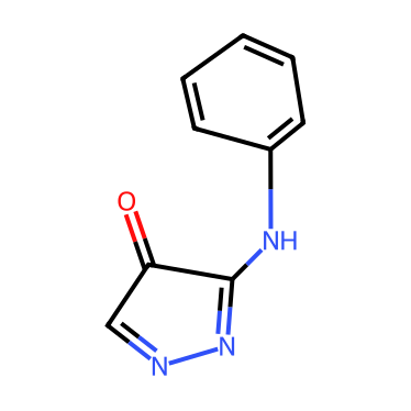 O=C1C=NN=C1Nc1ccccc1